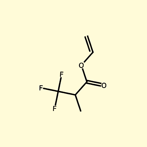 C=COC(=O)C(C)C(F)(F)F